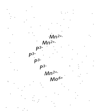 [Mn+2].[Mn+2].[Mn+2].[Mo+6].[P-3].[P-3].[P-3].[P-3]